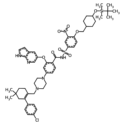 CC1(C)CCC(CN2CCN(c3ccc(C(=O)NS(=O)(=O)c4ccc(OCC5CCC(O[Si](C)(C)C(C)(C)C)CC5)c([N+](=O)[O-])c4)c(Oc4cnc5[nH]ccc5c4)c3)CC2)=C(c2ccc(Cl)cc2)C1